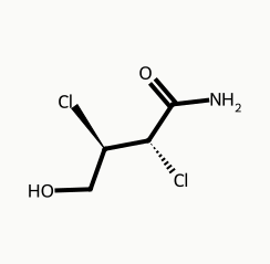 NC(=O)[C@H](Cl)[C@H](Cl)CO